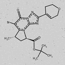 C[C@H]1C[C@H](C(=O)OC(C)(C)C)n2c1c(Br)c(=O)n1nc(C3=CCOCC3)nc21